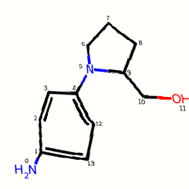 Nc1ccc(N2CCCC2CO)cc1